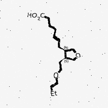 CCC=COCC[C@@H]1COC[C@@H]1CC=CCCCC(=O)O